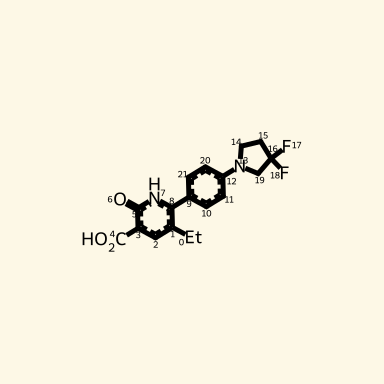 CCc1cc(C(=O)O)c(=O)[nH]c1-c1ccc(N2CCC(F)(F)C2)cc1